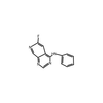 Fc1cc2c(Nc3ccccc3)ncnc2cn1